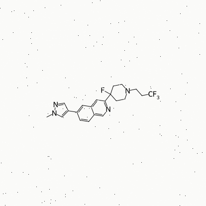 Cn1cc(-c2ccc3cnc(C4(F)CCN(CCC(F)(F)F)CC4)cc3c2)cn1